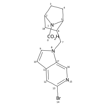 O=C(O)N1C2CCC1C(Cn1ccc3cc(Br)ncc31)C2